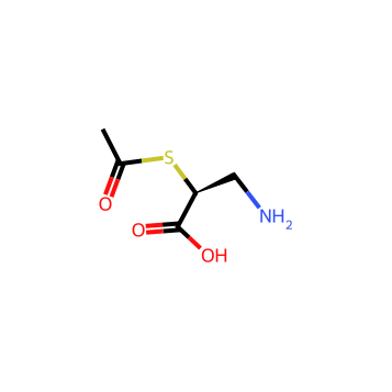 CC(=O)S[C@@H](CN)C(=O)O